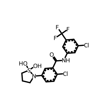 O=C(Nc1cc(Cl)cc(C(F)(F)F)c1)c1cc(N2CCCS2(O)O)ccc1Cl